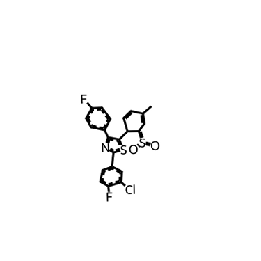 CC1=CC(=S(=O)=O)C(c2sc(-c3ccc(F)c(Cl)c3)nc2-c2ccc(F)cc2)C=C1